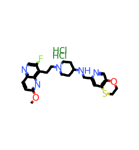 COc1ccc2ncc(F)c(CCN3CCC(NCc4cc5c(cn4)OCCS5)CC3)c2n1.Cl.Cl